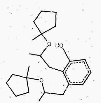 CC(Cc1cccc(O)c1CC(C)OC1(C)CCCC1)OC1(C)CCCC1